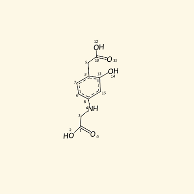 O=C(O)CNc1ccc(CC(=O)O)c(O)c1